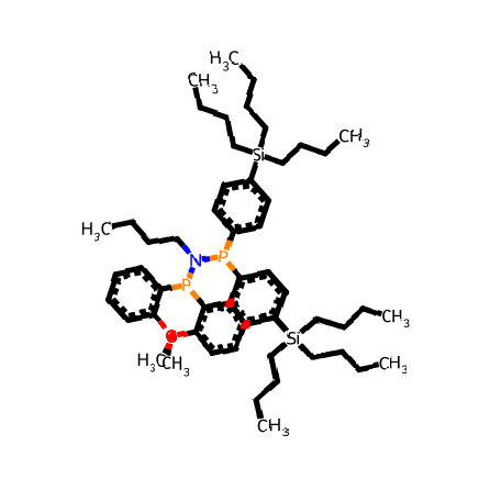 CCCCN(P(c1ccc([Si](CCCC)(CCCC)CCCC)cc1)c1ccc([Si](CCCC)(CCCC)CCCC)cc1)P(c1ccccc1OC)c1ccccc1OC